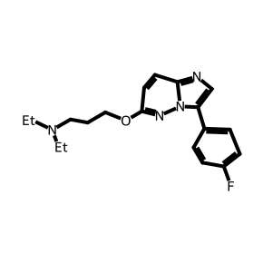 CCN(CC)CCCOc1ccc2ncc(-c3ccc(F)cc3)n2n1